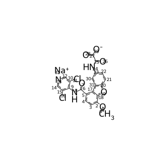 COc1ccc(C(=O)Nc2c(Cl)cncc2Cl)c2c1oc1ccc(NC(=O)C(=O)[O-])cc12.[Na+]